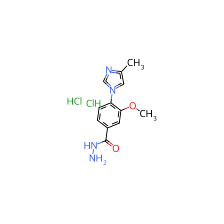 COc1cc(C(=O)NN)ccc1-n1cnc(C)c1.Cl.Cl